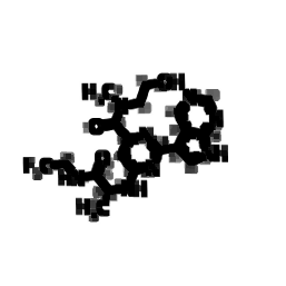 C[C@H](Nc1cc(C(=O)N(C)CCO)nc(-c2c[nH]c3ncncc23)n1)C(=O)NCC(F)(F)F